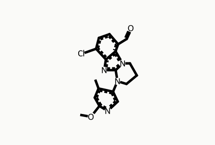 COc1cc(C)c(N2CCCn3c2nc2c(Cl)ccc(C=O)c23)cn1